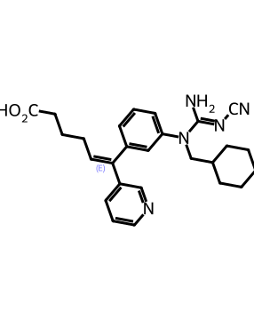 N#CN=C(N)N(CC1CCCCC1)c1cccc(/C(=C\CCCC(=O)O)c2cccnc2)c1